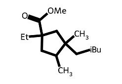 CCC(C)CC1(C)CC(CC)(C(=O)OC)CC1C